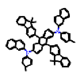 Cc1ccc(N(c2ccc3ccccc3c2)c2ccc3c(-c4ccc5c(c4)C(C)(C)c4ccccc4-5)c4cc(N(C5=CCC(C)C=C5)c5ccc6ccccc6c5)ccc4c(-c4ccc5c(c4)C(C)(C)c4ccccc4-5)c3c2)cc1